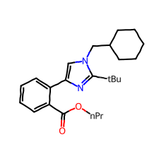 CCCOC(=O)c1ccccc1-c1cn(CC2CCCCC2)c(C(C)(C)C)n1